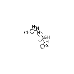 CSc1ccccc1NC(=O)N(S)C1CCN(c2ncnc3cc(Cl)ccc23)CC1